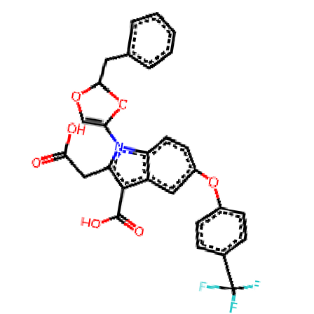 O=C(O)Cc1c(C(=O)O)c2cc(Oc3ccc(C(F)(F)F)cc3)ccc2n1C1=COC(Cc2ccccc2)O1